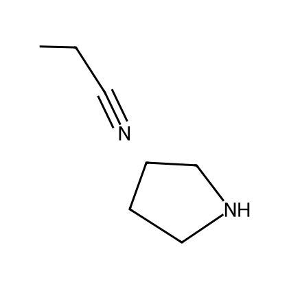 C1CCNC1.CCC#N